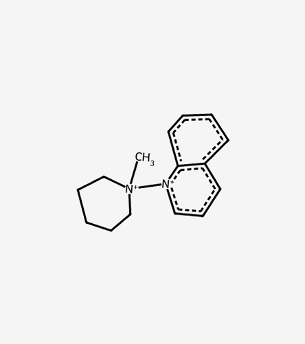 C[N+]1([n+]2cccc3ccccc32)CCCCC1